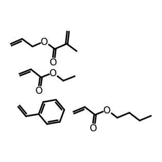 C=CC(=O)OCC.C=CC(=O)OCCCC.C=CCOC(=O)C(=C)C.C=Cc1ccccc1